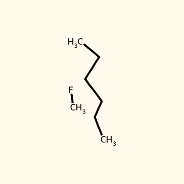 CCCCCC.CF